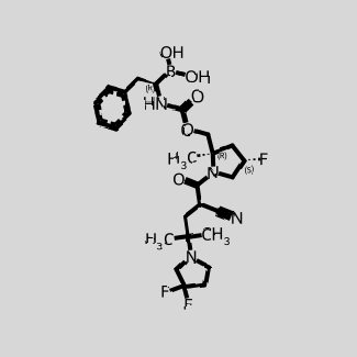 CC(C)(CC(C#N)C(=O)N1C[C@@H](F)C[C@]1(C)COC(=O)N[C@@H](Cc1ccccc1)B(O)O)N1CCC(F)(F)C1